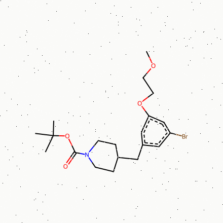 COCCOc1cc(Br)cc(CC2CCN(C(=O)OC(C)(C)C)CC2)c1